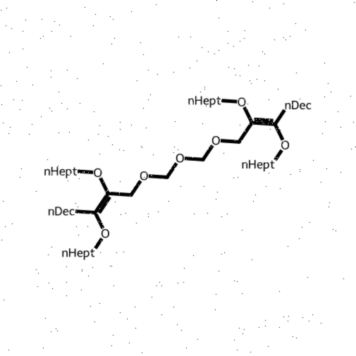 CCCCCCCCCCC(OCCCCCCC)=C(COCOCOCC(OCCCCCCC)=C(CCCCCCCCCC)OCCCCCCC)OCCCCCCC